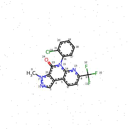 Cn1ncc2c3ccc(C(F)(F)F)nc3n(-c3ccccc3Cl)c(=O)c21